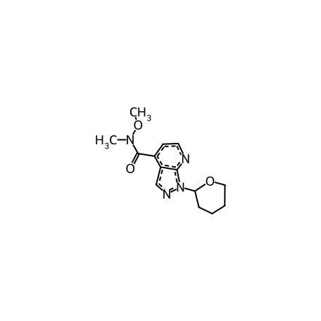 CON(C)C(=O)c1ccnc2c1cnn2C1CCCCO1